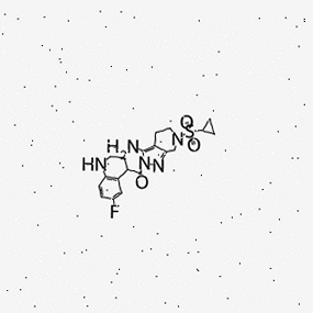 Nc1c2c(nn1C(=O)C1CCNc3ccc(F)cc31)CN(S(=O)(=O)C1CC1)CC2